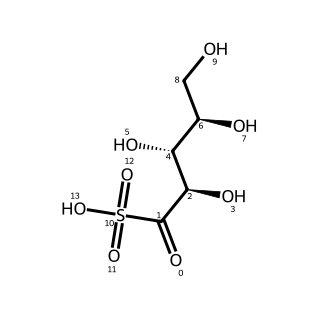 O=C([C@H](O)[C@H](O)[C@H](O)CO)S(=O)(=O)O